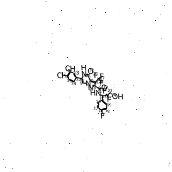 Cc1cc(-c2cn3nc(C(=O)NC(c4ccc(F)cc4)C(F)(F)CO)c(C(F)(F)F)c3c(=O)[nH]2)ccc1Cl